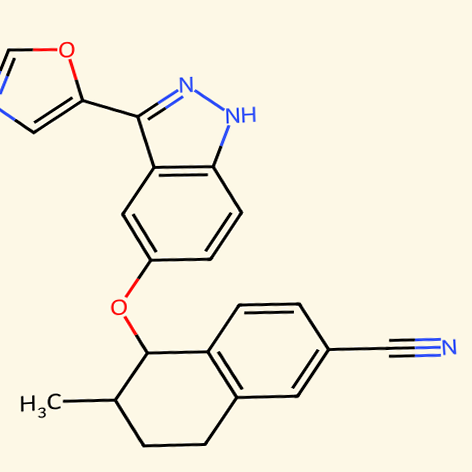 CC1CCc2cc(C#N)ccc2C1Oc1ccc2[nH]nc(-c3cnco3)c2c1